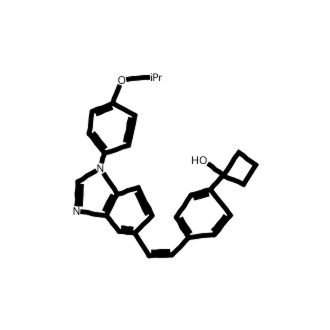 CC(C)Oc1ccc(-n2cnc3cc(/C=C\c4ccc(C5(O)CCC5)cc4)ccc32)cc1